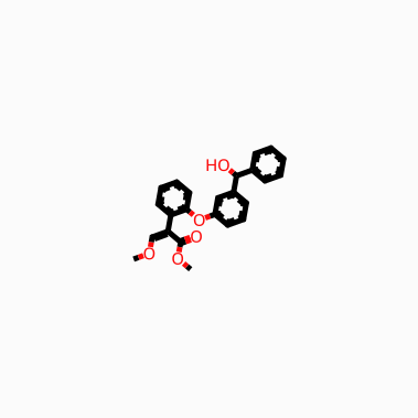 COC=C(C(=O)OC)c1ccccc1Oc1cccc(C(O)c2ccccc2)c1